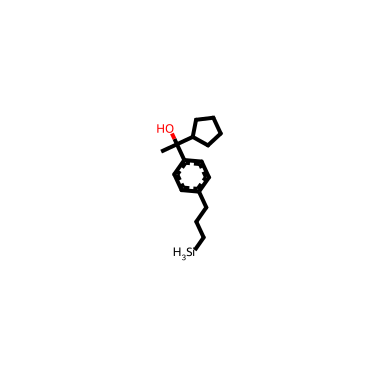 CC(O)(c1ccc(CCC[SiH3])cc1)C1CCCC1